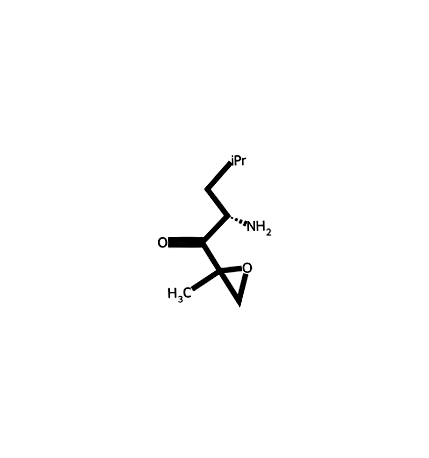 CC(C)C[C@H](N)C(=O)C1(C)CO1